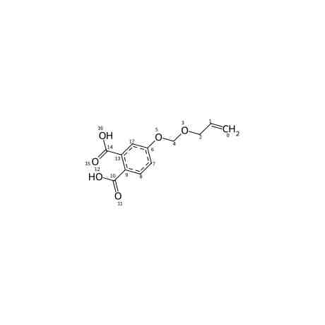 C=CCOCOc1ccc(C(=O)O)c(C(=O)O)c1